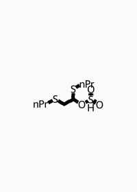 CCCSCC(O[SH](=O)=O)SCCC